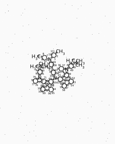 Cc1ccc(N(c2ccc(C)cc2)c2ccc(-c3ccc(N(c4ccc(C5(c6ccc7c(c6)c6ccccc6n7-c6ccc(C(C)(C)C)cc6)c6ccccc6-c6ccccc65)cc4)c4ccc(C5(c6ccc7c(c6)c6ccccc6n7-c6ccc(C(C)(C)C)cc6)c6ccccc6-c6ccccc65)cc4)cc3)cc2)cc1